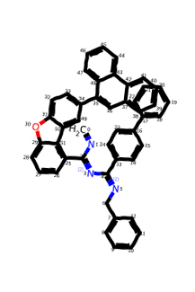 C=N/C(=N\C(=N/Cc1ccccc1)c1ccc(-c2ccccc2)cc1)c1cccc2oc3ccc(-c4cc5ccccc5c5ccccc45)cc3c12